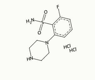 Cl.Cl.NS(=O)(=O)c1c(F)cccc1N1CCNCC1